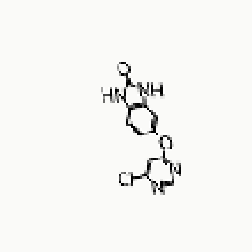 O=c1[nH]c2ccc(Oc3cc(Cl)ncn3)cc2[nH]1